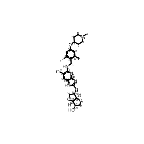 CN1CCC(Oc2cc(F)c(CNc3nc4nc(O[C@@H]5CO[C@H]6[C@@H]5OC[C@H]6O)[nH]c4cc3Cl)c(F)c2)CC1